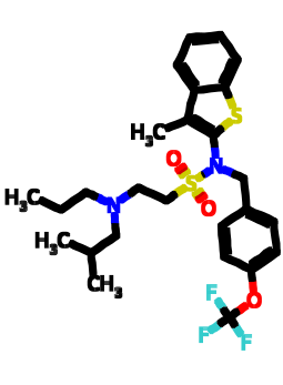 CCCN(CCS(=O)(=O)N(Cc1ccc(OC(F)(F)F)cc1)c1sc2ccccc2c1C)CC(C)C